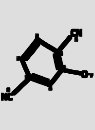 N#Cc1ccc(C#N)c([O])c1